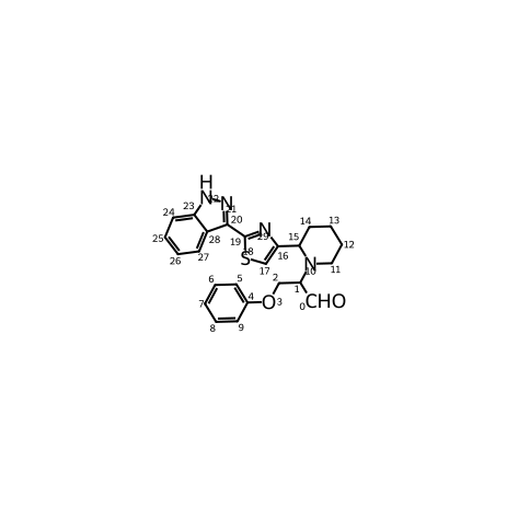 O=CC(COc1ccccc1)N1CCCCC1c1csc(-c2n[nH]c3ccccc23)n1